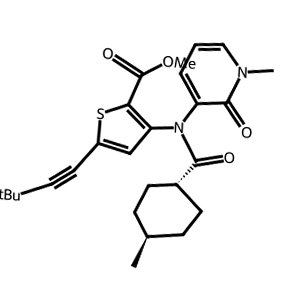 COC(=O)c1sc(C#CC(C)(C)C)cc1N(c1cccn(C)c1=O)C(=O)[C@H]1CC[C@H](C)CC1